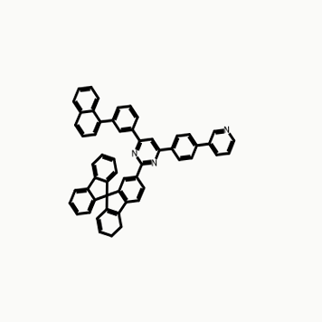 C1=CC2=C(CC1)c1ccc(-c3nc(-c4ccc(-c5cccnc5)cc4)cc(-c4cccc(-c5cccc6ccccc56)c4)n3)cc1C21c2ccccc2-c2ccccc21